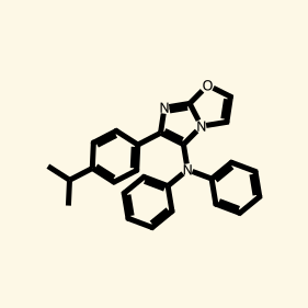 CC(C)c1ccc(-c2nc3occn3c2N(c2ccccc2)c2ccccc2)cc1